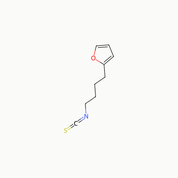 S=C=NCCCCc1ccco1